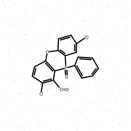 O=Cc1c(Cl)ccc2c1P(=O)(c1ccccc1)c1cc(Cl)ccc1O2